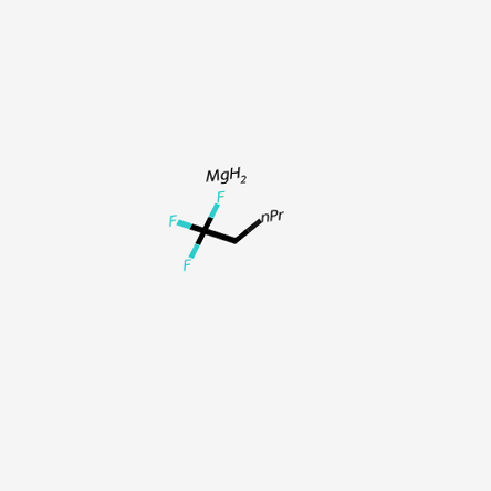 CCCCC(F)(F)F.[MgH2]